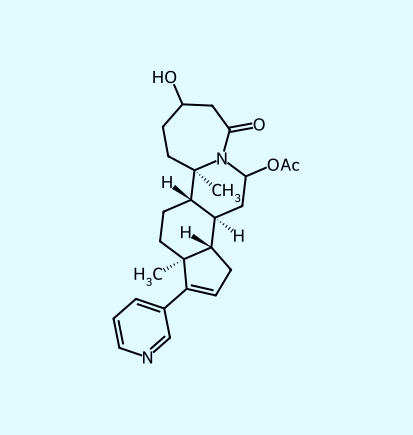 CC(=O)OC1C[C@H]2[C@@H]3CC=C(c4cccnc4)[C@@]3(C)CC[C@@H]2[C@@]2(C)CCC(O)CC(=O)N12